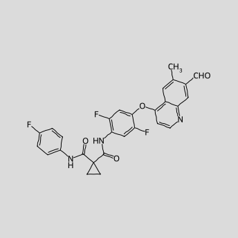 Cc1cc2c(Oc3cc(F)c(NC(=O)C4(C(=O)Nc5ccc(F)cc5)CC4)cc3F)ccnc2cc1C=O